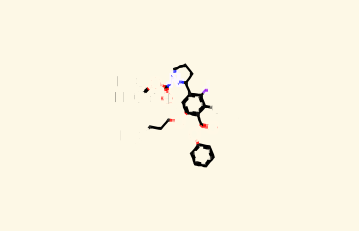 CCCCOc1cc(C2CCCN2C(=O)OC(C)(C)C)c(I)c(C)c1C(=O)Oc1ccccc1